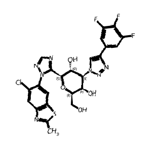 Cc1nc2cc(Cl)c(-n3ncnc3[C@@H]3O[C@H](CO)[C@H](O)[C@H](n4cc(-c5cc(F)c(F)c(F)c5)nn4)[C@H]3O)cc2s1